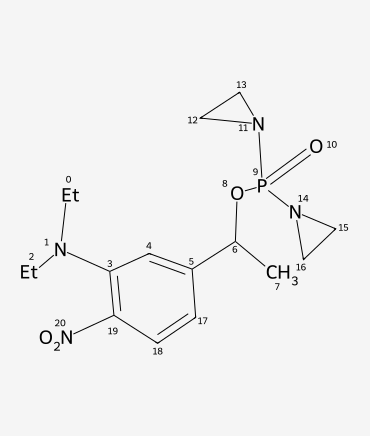 CCN(CC)c1cc(C(C)OP(=O)(N2CC2)N2CC2)ccc1[N+](=O)[O-]